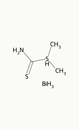 C[SH](C)C(N)=S.[BiH3]